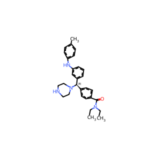 CCN(CC)C(=O)c1ccc([C@H](c2cccc(Nc3ccc(C)cc3)c2)N2CCNCC2)cc1